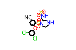 CS(=O)(=O)NCC1CNCCCN1S(=O)(=O)c1cc(C#N)ccc1Oc1cc(Cl)cc(Cl)c1